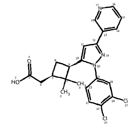 CC1(C)[C@@H](CC(=O)O)C[C@H]1c1cc(-c2cccnc2)nn1-c1ccc(Cl)c(Cl)c1